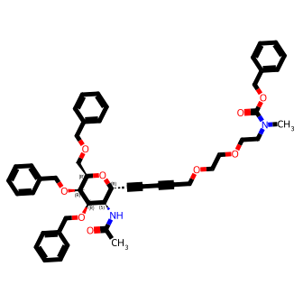 CC(=O)N[C@@H]1[C@@H](OCc2ccccc2)[C@@H](OCc2ccccc2)[C@@H](COCc2ccccc2)O[C@@H]1C#CC#CCOCCOCCN(C)C(=O)OCc1ccccc1